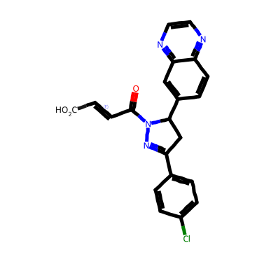 O=C(O)/C=C/C(=O)N1N=C(c2ccc(Cl)cc2)CC1c1ccc2nccnc2c1